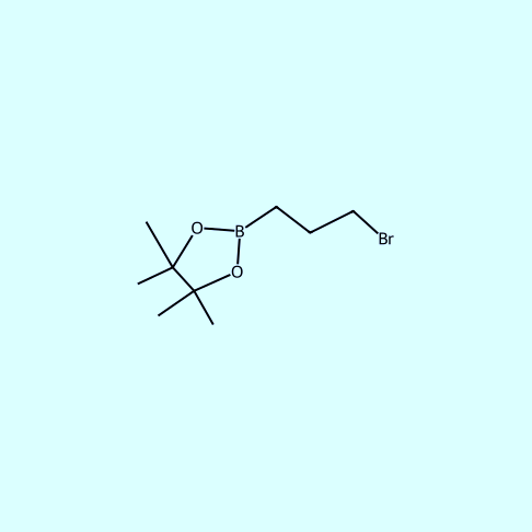 CC1(C)OB(CCCBr)OC1(C)C